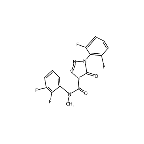 CN(C(=O)n1nnn(-c2c(F)cccc2F)c1=O)c1cccc(F)c1F